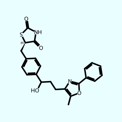 Cc1oc(-c2ccccc2)nc1CCC(O)c1ccc(C[C@H]2SC(=O)NC2=O)cc1